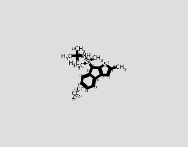 Cc1cc2c(s1)C([Si](C)(C)NC(C)(C)C)c1ccccc1-2.[Cl-].[Cl-].[Zr+2]